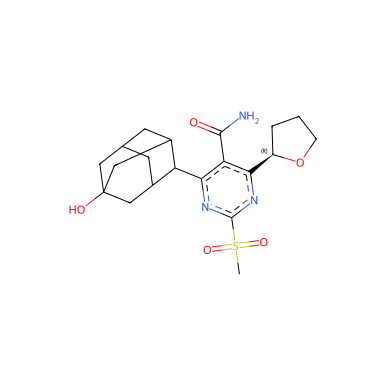 CS(=O)(=O)c1nc(C2C3CC4CC2CC(O)(C4)C3)c(C(N)=O)c([C@H]2CCCO2)n1